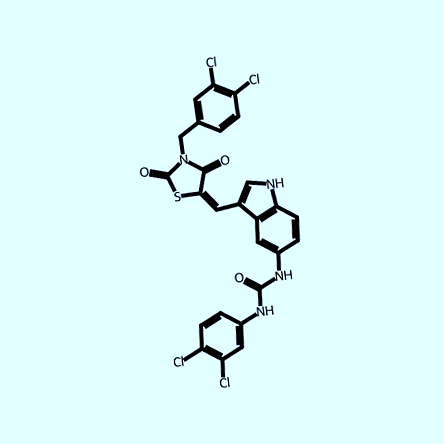 O=C(Nc1ccc(Cl)c(Cl)c1)Nc1ccc2[nH]cc(C=C3SC(=O)N(Cc4ccc(Cl)c(Cl)c4)C3=O)c2c1